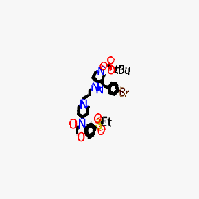 CCS(=O)(=O)c1ccc2c(c1)N(C1CCN(CCCn3nc(-c4ccc(Br)cc4)c4c3CCN(OC(=O)OC(C)(C)C)C4)CC1)C(=O)CO2